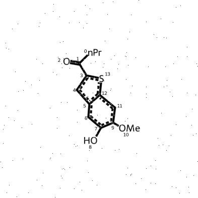 CCCC(=O)c1cc2cc(O)c(OC)cc2s1